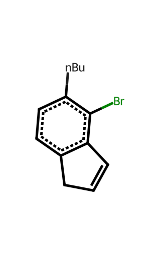 CCCCc1ccc2c(c1Br)C=CC2